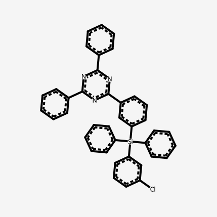 Clc1cccc([Si](c2ccccc2)(c2ccccc2)c2cccc(-c3nc(-c4ccccc4)nc(-c4ccccc4)n3)c2)c1